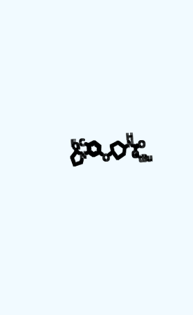 CC(C)(C)OC(=O)NC1CCC(Oc2ccc(C(F)(F)F)c(N3CCCC3=O)c2)CC1